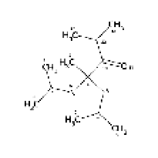 CC(C)CC(C)(NC(C)C)C(=O)C(C)C